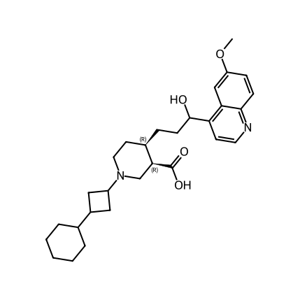 COc1ccc2nccc(C(O)CC[C@@H]3CCN(C4CC(C5CCCCC5)C4)C[C@@H]3C(=O)O)c2c1